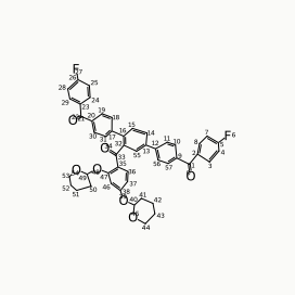 O=C(c1ccc(F)cc1)c1ccc(-c2ccc(-c3ccc(C(=O)c4ccc(F)cc4)cc3)c(C(=O)c3ccc(OC4CCCCO4)cc3OC3CCCCO3)c2)cc1